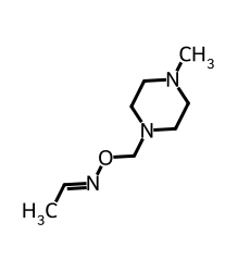 C/C=N/OCN1CCN(C)CC1